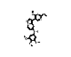 COc1ncc(-c2cnn3ccc(Nc4cc(OC)c(OC)c(OC)c4)nc23)c(OC)n1